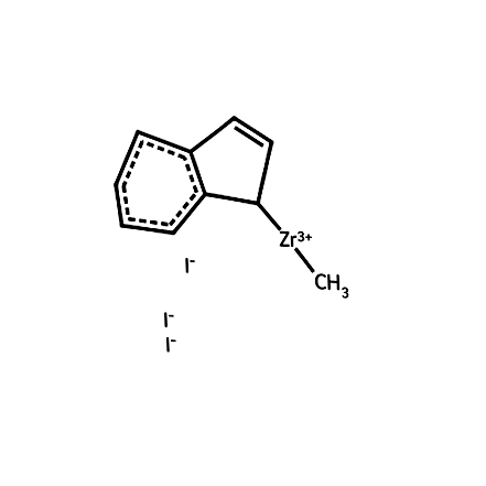 [CH3][Zr+3][CH]1C=Cc2ccccc21.[I-].[I-].[I-]